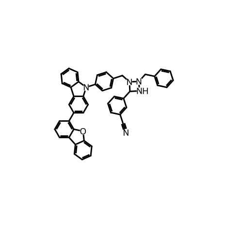 N#Cc1cccc(C2NN(Cc3ccccc3)N2Cc2ccc(-n3c4ccccc4c4cc(-c5cccc6c5oc5ccccc56)ccc43)cc2)c1